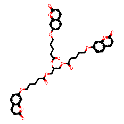 O=C(CCCCOc1ccc2ccc(=O)oc2c1)OCC(COC(=O)CCCCOc1ccc2ccc(=O)oc2c1)OC(=O)CCCCOc1ccc2ccc(=O)oc2c1